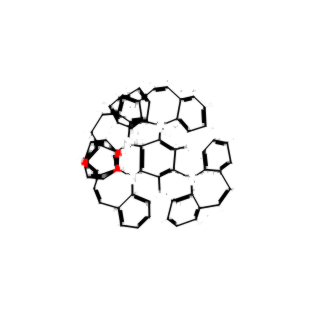 N#Cc1c(N2c3ccccc3C=Cc3ccccc32)c(N2c3ccccc3CCc3ccccc32)c(N2c3ccccc3C=Cc3ccccc32)c(C(F)(F)F)c1N1c2ccccc2C=Cc2ccccc21